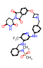 CN(c1ccccc1CNc1cc(Nc2ccc(CN3CC(Oc4ccc5c(c4)C(=O)N(C4CCC(=O)NC4=O)C5=O)C3)cc2)ncc1C(F)(F)F)S(C)(=O)=O